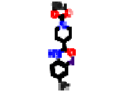 CC(C)c1ccc(NC(=O)C2CCN(C(=O)OC(C)(C)C)CC2)c(I)c1